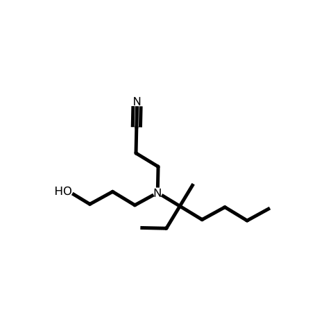 CCCCC(C)(CC)N(CCC#N)CCCO